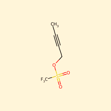 CC#CCOS(=O)(=O)C(F)(F)F